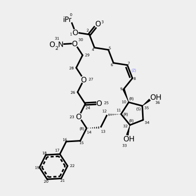 CC(C)OC(=O)CCC/C=C\C[C@@H]1[C@@H](CC[C@H](CCc2ccccc2)OC(=O)COCCO[N+](=O)[O-])[C@H](O)C[C@@H]1O